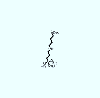 CCCCCCCCCCCCCCNCCC[Si](OCC)(OCC)OCC